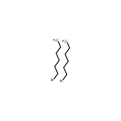 CCCCCCBr.CCCCCCBr